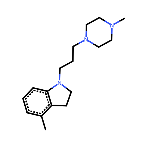 Cc1cccc2c1CCN2CCCN1CCN(C)CC1